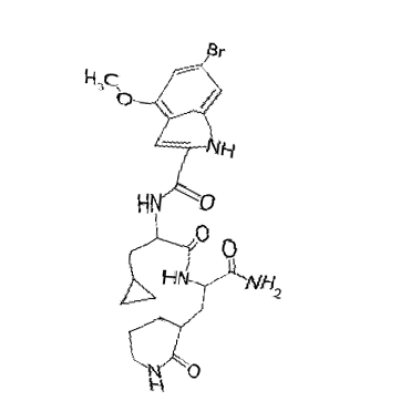 COc1cc(Br)cc2[nH]c(C(=O)NC(CC3CC3)C(=O)NC(CC3CCCNC3=O)C(N)=O)cc12